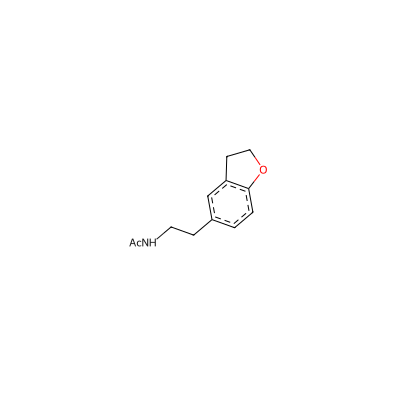 CC(=O)NCCc1ccc2c(c1)CCO2